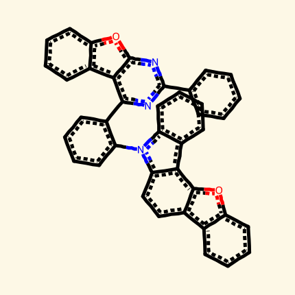 c1ccc(-c2nc(-c3ccccc3-n3c4ccccc4c4c5oc6ccccc6c5ccc43)c3c(n2)oc2ccccc23)cc1